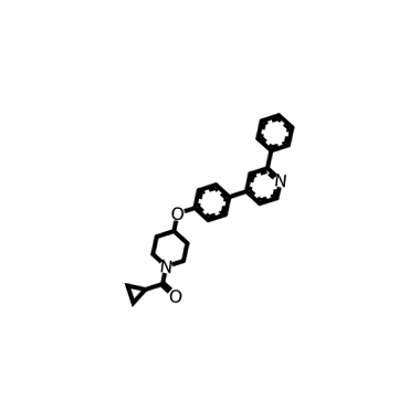 O=C(C1CC1)N1CCC(Oc2ccc(-c3ccnc(-c4ccccc4)c3)cc2)CC1